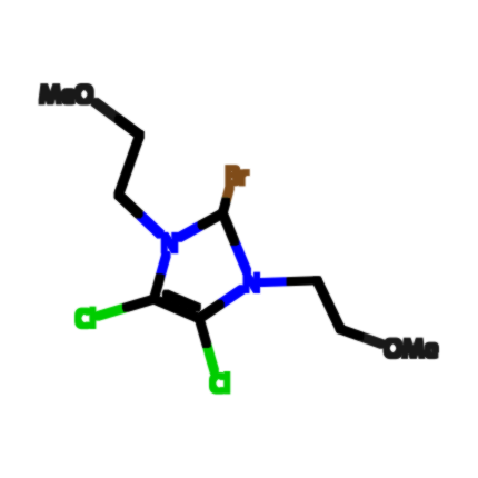 COCCN1C(Cl)=C(Cl)N(CCOC)C1Br